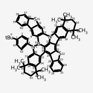 CC(C)(C)c1ccc(N2B3c4cc5c(cc4-n4c6cc7c(cc6c6c8sc9ccccc9c8c(c3c64)-c3cc4c(cc32)C(C)(C)CCC4(C)C)C(C)(C)CCC7(C)C)sc2ccccc25)cc1